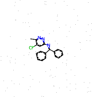 Cc1nnc(N=C(c2ccccc2)c2ccccc2)cc1Cl